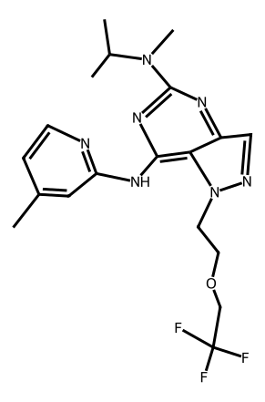 Cc1ccnc(Nc2nc(N(C)C(C)C)nc3cnn(CCOCC(F)(F)F)c23)c1